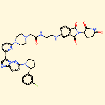 O=C(CN1CCN(c2cccc(-c3cnc4ccc(N5CCC[C@@H]5c5cccc(F)c5)nn34)n2)CC1)NCCNc1ccc2c(c1)C(=O)N(C1CCC(=O)NC1=O)C2=O